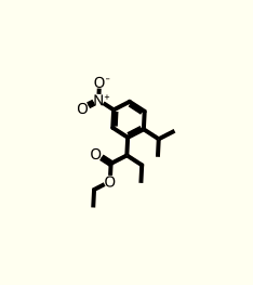 CCOC(=O)C(CC)c1cc([N+](=O)[O-])ccc1C(C)C